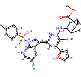 COC(=O)C1C2CCC(CC2)C1Nc1nc(-c2cn(S(=O)(=O)c3ccc(C)cc3)c3ncc(F)cc23)nc(-c2ccco2)c1F